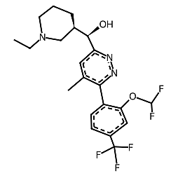 CCN1CCC[C@@H]([C@@H](O)c2cc(C)c(-c3ccc(C(F)(F)F)cc3OC(F)F)nn2)C1